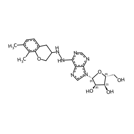 Cc1ccc2c(c1C)OCC(NNc1ncnc3c1ncn3[C@@H]1O[C@H](CO)[C@@H](O)[C@H]1O)C2